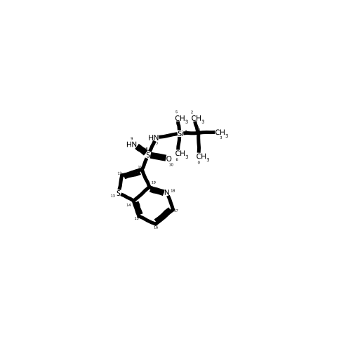 CC(C)(C)[Si](C)(C)NS(=N)(=O)c1csc2cccnc12